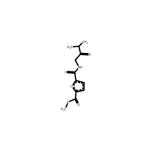 COC(=O)c1ccc(C(=O)NCC(=O)C(C)C)o1